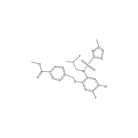 COC(=O)c1ccc(COc2cc(F)c(Cl)cc2N(CC(C)F)S(=O)(=O)c2nc(C)cs2)cc1